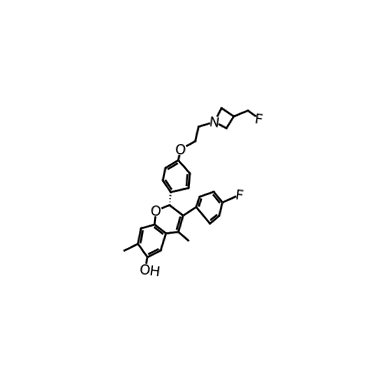 CC1=C(c2ccc(F)cc2)[C@@H](c2ccc(OCCN3CC(CF)C3)cc2)Oc2cc(C)c(O)cc21